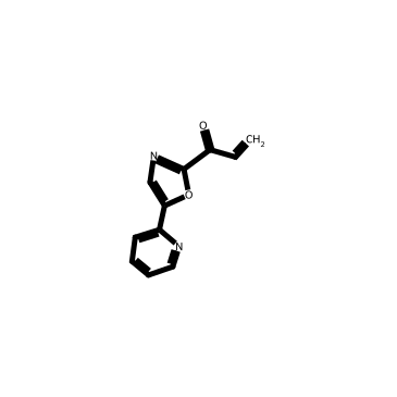 C=CC(=O)c1ncc(-c2ccccn2)o1